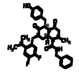 CN(C)c1cc(F)c(F)cc1CN1C[C@H]2N(C(=O)CN(C)N2C(=O)NCc2ccccc2)[C@@H](Cc2ccc(O)cc2)C1=O